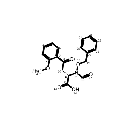 COc1ccccc1C(=O)C[C@@H](C(=O)O)N(C=O)OCc1ccccc1